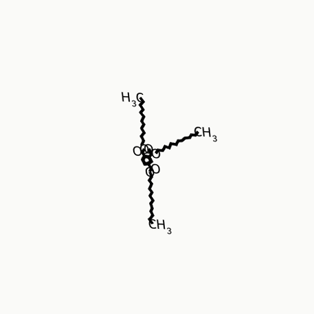 CCCCCCCCCCCCCOC(=O)c1ccc(C(=O)OCCCCCCCCCCCCC)c(C(=O)OCCCCCCCCCCCCC)c1